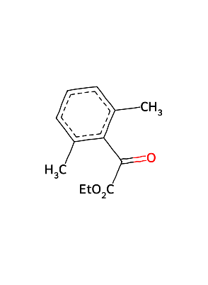 CCOC(=O)C(=O)c1c(C)cccc1C